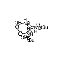 CC(C)(C)OC(=O)NCCC[C@@H]1NC(=O)[C@@H](NC(=O)OC(C)(C)C)Cc2cc(ccc2O)-c2ccc(O)c(c2)CCNC1=O